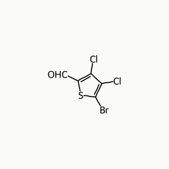 O=Cc1sc(Br)c(Cl)c1Cl